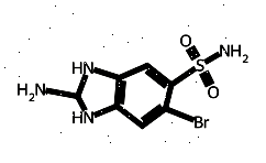 NC1Nc2cc(Br)c(S(N)(=O)=O)cc2N1